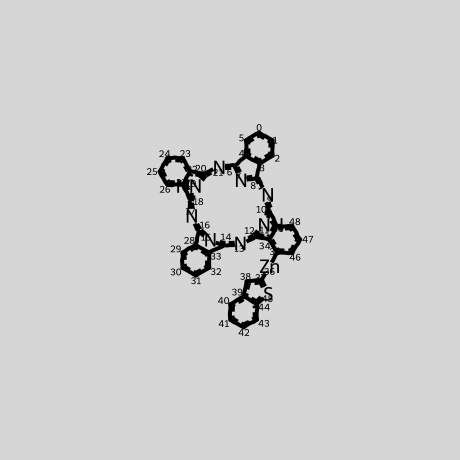 c1ccc2c(c1)-c1nc-2nc2[nH]c(nc3nc(nc4[nH]c(n1)c1ccccc41)-c1ccccc1-3)c1[c]([Zn][c]3cc4ccccc4s3)cccc21